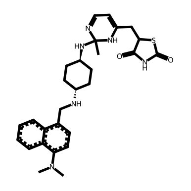 CN(C)c1ccc(CN[C@H]2CC[C@H](NC3(C)N=CC=C(CC4SC(=O)NC4=O)N3)CC2)c2ccccc12